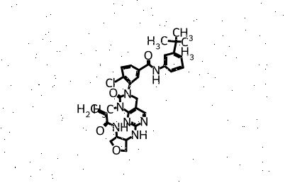 C=CC(=O)NC1COCC1Nc1ncc2c(n1)N(C)C(=O)N(c1cc(C(=O)Nc3cccc(C(C)(C)C)c3)ccc1Cl)C2